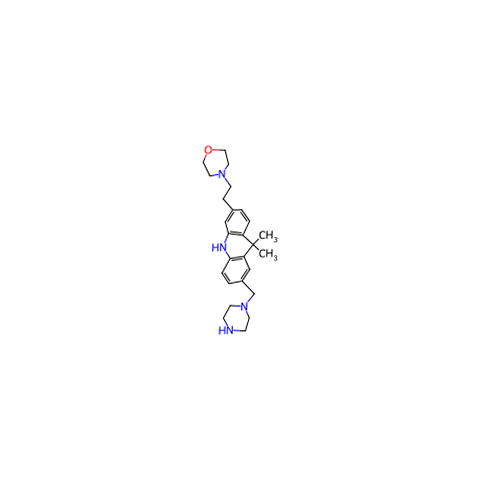 CC1(C)c2ccc(CCN3CCOCC3)cc2Nc2ccc(CN3CCNCC3)cc21